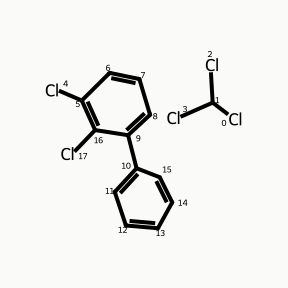 ClC(Cl)Cl.Clc1cccc(-c2ccccc2)c1Cl